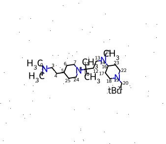 CN(C)CCC1CCN(C(C)(C)CCN(C)C2CCN(CC(C)(C)C)CC2)CC1